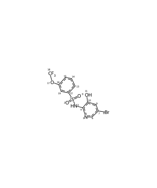 O=S(=O)(Nc1ncc(Br)cc1O)c1cccc(OC(F)(F)F)c1